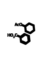 CC(=O)OC1CCCCC1.O=C(O)c1ccccc1